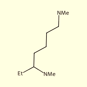 CCC(CCCCNC)NC